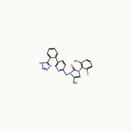 CCCCc1cn(-c2c(F)cccc2CCC)c(=O)n1Cc1ccc(-c2ccccc2-c2nnn[nH]2)cn1